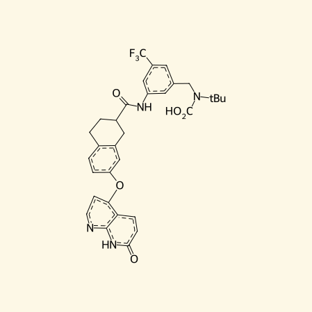 CC(C)(C)N(Cc1cc(NC(=O)C2CCc3ccc(Oc4ccnc5[nH]c(=O)ccc45)cc3C2)cc(C(F)(F)F)c1)C(=O)O